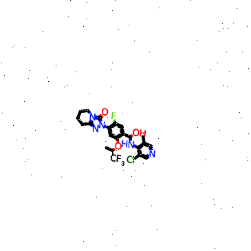 Cc1cncc(Cl)c1NC(O)c1cc(F)c(-n2nc3n(c2=O)CCCC3)cc1O[C@@H](C)C(F)(F)F